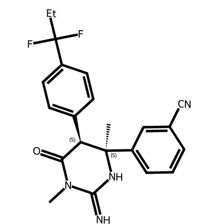 CCC(F)(F)c1ccc([C@@H]2C(=O)N(C)C(=N)N[C@]2(C)c2cccc(C#N)c2)cc1